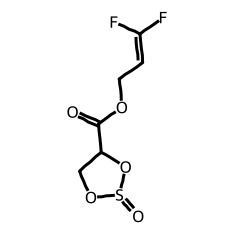 O=C(OCC=C(F)F)C1COS(=O)O1